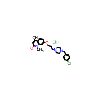 Cc1cc(=O)n(C)c2cc(OCCCN3CCN(Cc4ccc(Cl)cc4)CC3)ccc12.Cl